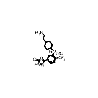 Cl.NCCC1CCC(Nc2cc(-c3n[nH]c(=O)o3)ccc2C(F)(F)F)CC1